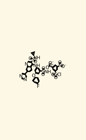 NS(=O)(=O)c1cc(Nc2c(S(=O)(=O)NC3CC3)cnc3cc(-c4cncnc4)ccc23)cc(Oc2ccc(F)cc2)c1.O=[N+]([O-])c1cc([N+](=O)[O-])cc(S(=O)(=O)Cl)c1